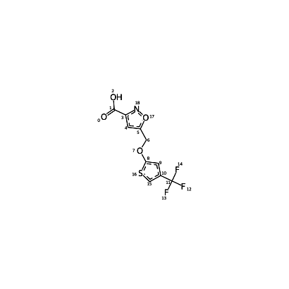 O=C(O)c1cc(COc2cc(C(F)(F)F)cs2)on1